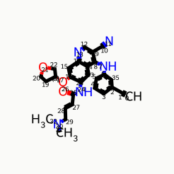 C#Cc1cccc(Nc2c(C#N)cnc3cc(O[C@H]4CCOC4)c(NC(=O)C=CCN(C)C)cc23)c1